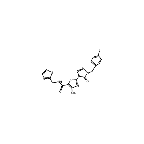 Cc1nc(-n2cnn(Cc3ccc(F)cc3)c2=O)sc1C(=O)NCc1nccs1